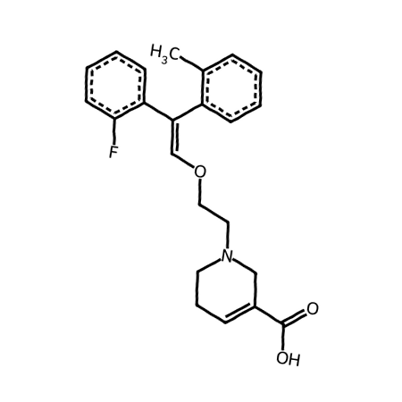 Cc1ccccc1/C(=C\OCCN1CCC=C(C(=O)O)C1)c1ccccc1F